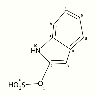 O=S(=O)(O)Oc1cc2ccccc2[nH]1